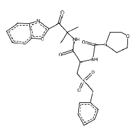 CC(C)(NC(=O)C(CS(=O)(=O)Cc1ccccc1)NC(=O)N1CCOCC1)C(=O)c1nc2ccccc2o1